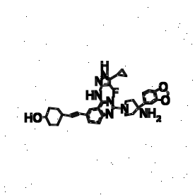 NC1(c2ccc3c(c2)OCO3)CCN(c2nc(Nc3n[nH]c(C4CC4)c3F)c3cc(C#CC4CCC(O)CC4)ccc3n2)CC1